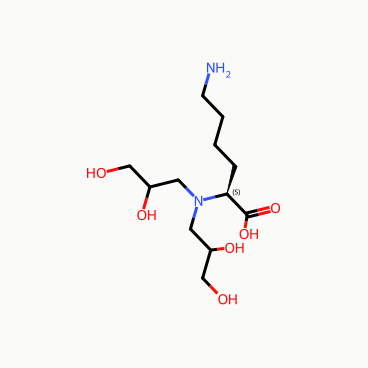 NCCCC[C@@H](C(=O)O)N(CC(O)CO)CC(O)CO